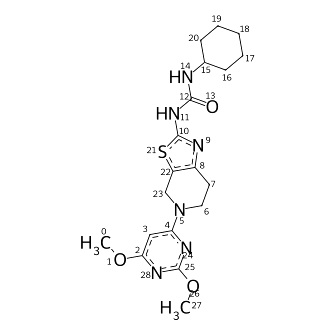 COc1cc(N2CCc3nc(NC(=O)NC4CCCCC4)sc3C2)nc(OC)n1